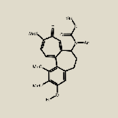 CCOc1cc2c(c(OC)c1OC)-c1ccc(SC)c(=O)cc1C(N(C(C)=O)C(=O)OC(C)(C)C)CC2